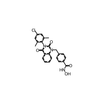 Cc1cc(Cl)cc(C)c1-n1c(=O)c2ccccc2n(Cc2ccc(C(=O)NO)cc2)c1=O